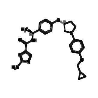 C[C@H](NC(=O)c1cnc(N)s1)c1ccc(O[C@@H]2CCN(c3ccc(OCC4CC4)cc3)C2)cc1